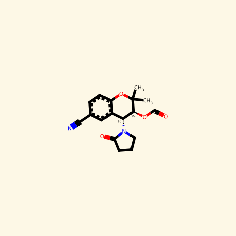 CC1(C)Oc2ccc(C#N)cc2[C@@H](N2CCCC2=O)[C@@H]1OC=O